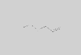 C=CCOOCl